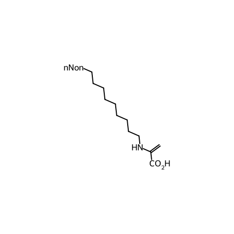 C=C(NCCCCCCCCCCCCCCCCCC)C(=O)O